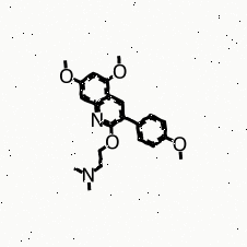 COc1ccc(-c2cc3c(OC)cc(OC)cc3nc2OCCN(C)C)cc1